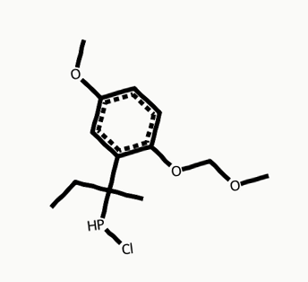 CCC(C)(PCl)c1cc(OC)ccc1OCOC